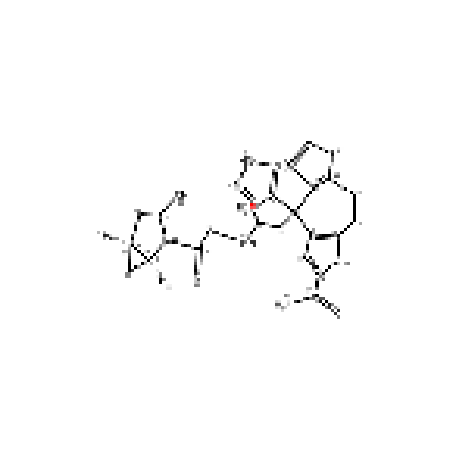 C[C@@H](CC1(c2nn[nH]n2)c2ccsc2CCc2sc(C(N)=O)cc21)NCC(=O)N1C(C#N)C[C@@H]2C[C@@H]21